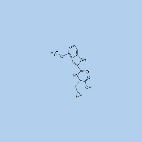 COc1cccc2[nH]c(C(=O)N[C@@H](CC3CC3)C(=O)O)cc12